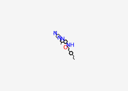 CCCc1ccc(C=CC(=O)Nc2ccc3nc(N4CCC(N(C)C)CC4)cc(C)c3c2)cc1